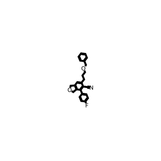 N#Cc1c(CCCOCc2ccccc2)cc2c(c1-c1ccc(F)cc1)COC2